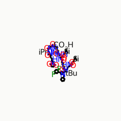 CC(C)[C@H](NC(=O)CCCCCN1C(=O)C=CC1=O)C(=O)N[C@@H](C)C(=O)N[C@@H](CSCC(=O)NC[C@@H](NC(=O)CCSCC(=O)N(CCCNC(=O)OCC[Si](C)(C)C)[C@@H](c1cc(-c2cc(F)ccc2F)cn1Cc1ccccc1)C(C)(C)C)C(=O)OCC[Si](C)(C)C)C(=O)O